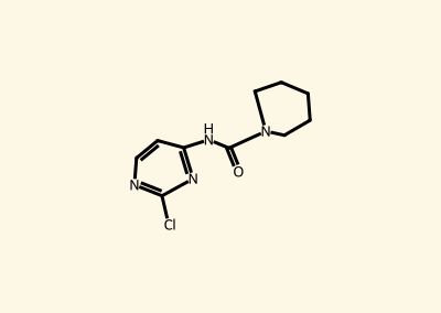 O=C(Nc1ccnc(Cl)n1)N1CCCCC1